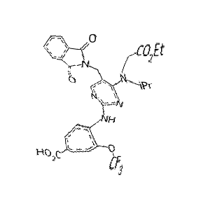 CCOC(=O)CN(c1nc(Nc2ccc(C(=O)O)cc2OC(F)(F)F)ncc1CN1C(=O)c2ccccc2C1=O)C(C)C